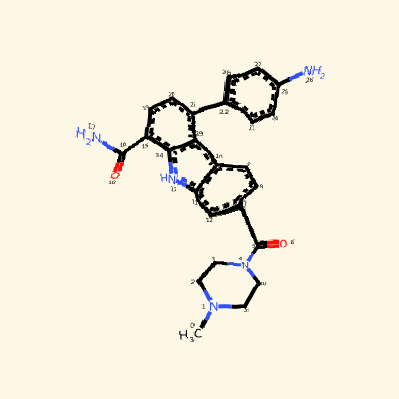 CN1CCN(C(=O)c2ccc3c(c2)[nH]c2c(C(N)=O)ccc(-c4ccc(N)cc4)c23)CC1